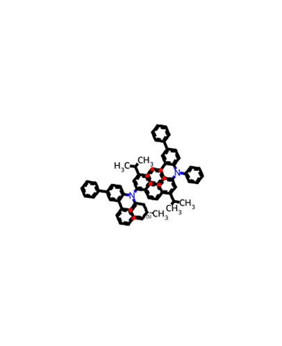 CC(C)c1cc(N(C2=CC=C[C@@H](C)C2)c2ccc(-c3ccccc3)cc2-c2ccccc2)c2ccc3c(C(C)C)cc(N(c4ccccc4)c4ccc(-c5ccccc5)cc4-c4ccccc4)c4ccc1c2c34